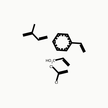 C=C(Cl)Cl.C=CC(=C)C.C=CC(=O)O.C=Cc1ccccc1